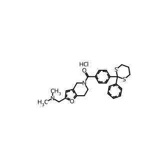 CN(C)Cc1cc2c(o1)CCN(C(=O)c1ccc(C3(c4ccccc4)SCCCS3)cc1)C2.Cl